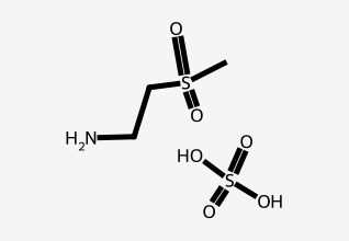 CS(=O)(=O)CCN.O=S(=O)(O)O